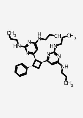 CCCNc1cc([C@@H]2[C@@H](c3ccccc3)C[C@@H]2c2cc(NCCC)nc(NCCC)n2)nc(NCCC)n1